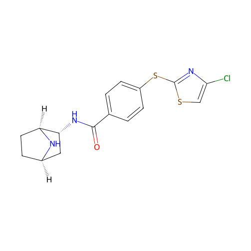 O=C(N[C@@H]1C[C@H]2CC[C@@H]1N2)c1ccc(Sc2nc(Cl)cs2)cc1